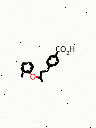 Cc1ccccc1OC(C)CCc1ccc(C(=O)O)cc1